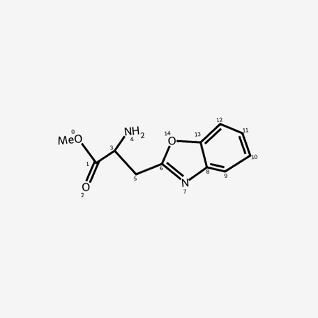 COC(=O)C(N)Cc1nc2ccccc2o1